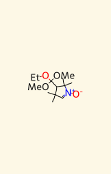 CCOC(OC)(OC)C1C(C)(C)C=[N+]([O-])C1(C)C